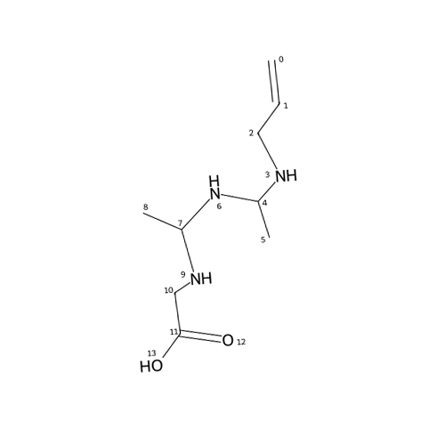 C=CCNC(C)NC(C)NCC(=O)O